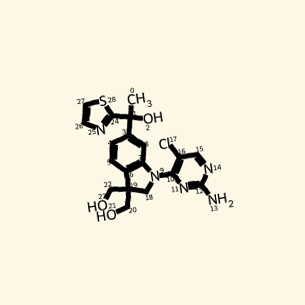 CC(O)(c1ccc2c(c1)N(c1nc(N)ncc1Cl)CC2(CO)CO)c1nccs1